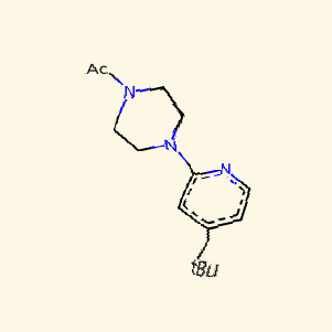 CC(=O)N1CCN(c2cc(C(C)(C)C)ccn2)CC1